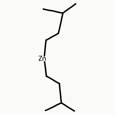 CC(C)C[CH2][Zn][CH2]CC(C)C